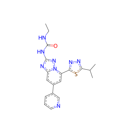 CCNC(=O)Nc1nc2cc(-c3cccnc3)cc(-c3nnc(C(C)C)s3)n2n1